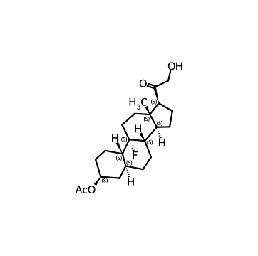 CC(=O)O[C@H]1CC[C@H]2[C@@H](CC[C@H]3[C@@H]4CC[C@H](C(=O)CO)[C@@]4(C)CC[C@]23F)C1